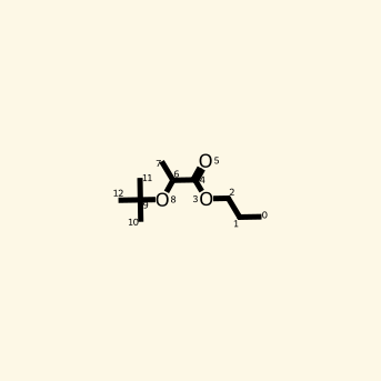 CCCOC(=O)C(C)OC(C)(C)C